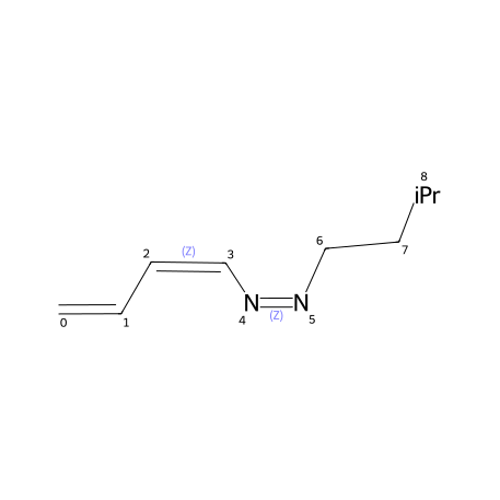 C=C/C=C\N=N/CCC(C)C